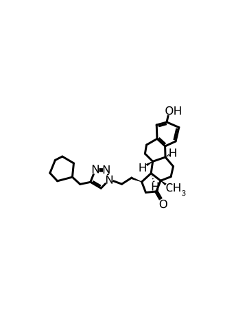 C[C@]12CC[C@@H]3c4ccc(O)cc4CC[C@H]3[C@@H]1[C@H](CCn1cc(CC3CCCCC3)nn1)CC2=O